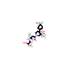 C[C@@H](O)C(=O)NC(C)(C)CC(=O)N1CC[C@](O)(C2=CCC(C)(Cl)C=C2)C(C)(C)C1